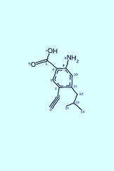 C#Cc1cc(C(=O)O)c(N)cc1CC(C)C